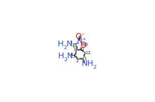 Nc1cc(N)c2c(N)[n+]([O-])oc2c1